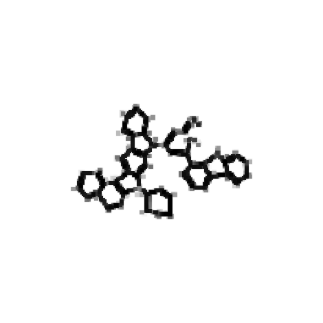 C=C/C=C(\C=C(/C)c1cccc2c1oc1ccccc12)n1c2ccccc2c2cc3c4c5ccccc5ccc4n(-c4ccccc4)c3cc21